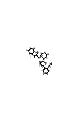 N#Cc1ccccc1-c1noc(C2CCCCN2Cc2nc3ccccc3[nH]2)n1